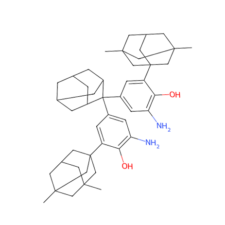 CC12CC3CC(C)(C1)CC(c1cc(C4(c5cc(N)c(O)c(C67CC8CC(C)(CC(C)(C8)C6)C7)c5)C5CC6CC(C5)CC4C6)cc(N)c1O)(C3)C2